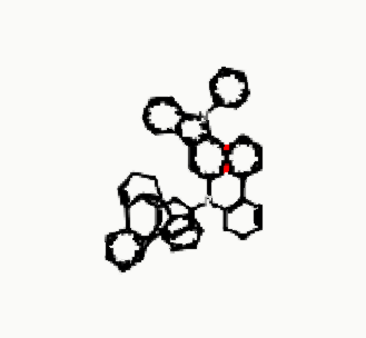 C1=CC(c2ccccc2)=C(N(c2ccc3c(c2)c2ccccc2n3-c2ccccc2)C2C=CC3=C(C2)C2=C4CCC=C2c2cccc3c2-c2ccccc24)CC1